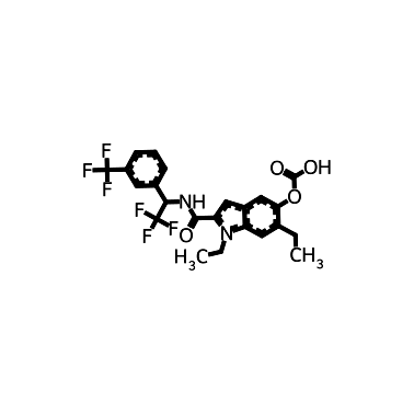 CCc1cc2c(cc1OC(=O)O)cc(C(=O)NC(c1cccc(C(F)(F)F)c1)C(F)(F)F)n2CC